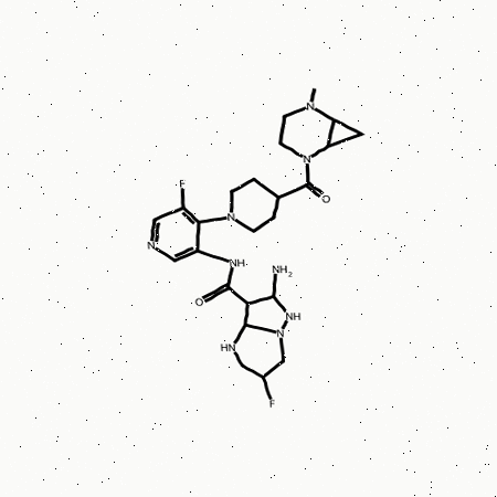 CN1CCN(C(=O)C2CCN(c3c(F)cncc3NC(=O)C3C(N)NN4CC(F)CNC34)CC2)C2CC21